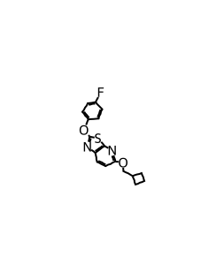 Fc1ccc(Oc2nc3ccc(OCC4CCC4)nc3s2)cc1